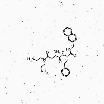 NCCN(CCN)C(=O)C[C@H](N)C(=O)N[C@@H](CCc1ccccc1)C(=O)NCc1ccc2ncccc2c1